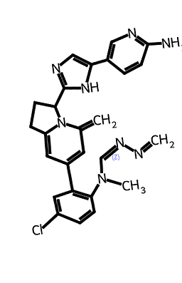 C=N/N=C\N(C)c1ccc(Cl)cc1C1=CC(=C)N2C(=C1)CCC2c1ncc(-c2ccc(N)nc2)[nH]1